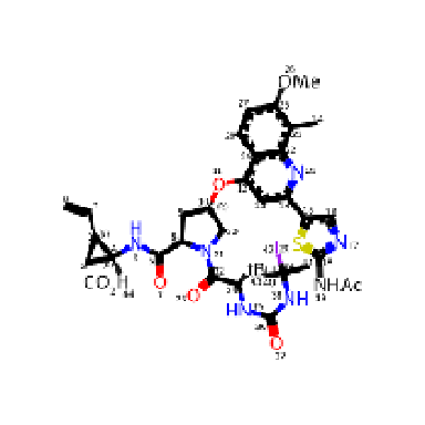 C=C[C@@H]1C[C@]1(NC(=O)C1C[C@@H](Oc2cc(-c3cnc(NC(C)=O)s3)nc3c(C)c(OC)ccc23)CN1C(=O)C(NC(=O)NC(C)(C)I)C(C)(C)C)C(=O)O